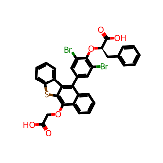 O=C(O)COc1c2ccccc2c(-c2cc(Br)c(O[C@H](Cc3ccccc3)C(=O)O)c(Br)c2)c2c1sc1ccccc12